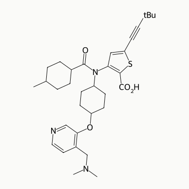 CC1CCC(C(=O)N(c2cc(C#CC(C)(C)C)sc2C(=O)O)C2CCC(Oc3cnccc3CN(C)C)CC2)CC1